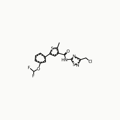 Cc1sc(-c2cccc(OC(F)F)c2)cc1C(=O)Nc1nc(CCl)ns1